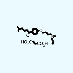 C=CCN(C)CC=CCOc1ccc(C(=O)C=CC=C(C)C)cc1.O=C(O)C=CC(=O)O